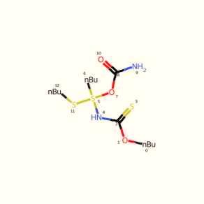 CCCCOC(=S)NS(CCCC)(OC(N)=O)SCCCC